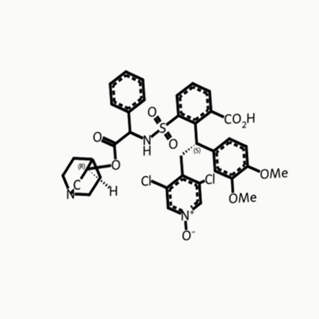 COc1ccc([C@H](Cc2c(Cl)c[n+]([O-])cc2Cl)c2c(C(=O)O)cccc2S(=O)(=O)NC(C(=O)O[C@H]2CN3CCC2CC3)c2ccccc2)cc1OC